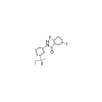 CCC(C)(F)c1cccc(NC(=O)c2cc(I)ccc2F)c1